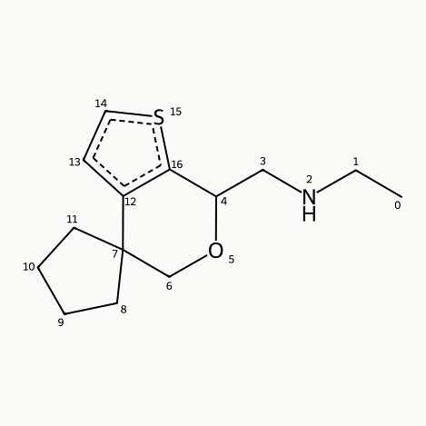 CCNCC1OCC2(CCCC2)c2ccsc21